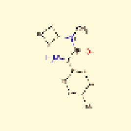 CCC1CCC(C(N)C(=O)N(C)C2CCC2)CC1